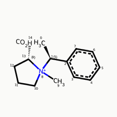 C[C@@H](c1ccccc1)[N+]1(C)CCC[C@@H]1C(=O)O